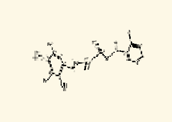 Cc1ccccc1NCC(=O)N/N=C/c1cc(Br)c(O)c(Br)c1O